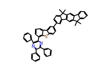 CC1(C)c2ccccc2-c2cc3c(cc21)-c1cc(-c2ccc4sc5c(-c6nc(-c7ccccc7)c(-c7ccccc7)nc6-c6ccccc6)cccc5c4c2)ccc1C3(C)C